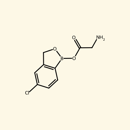 NCC(=O)OB1OCc2cc(Cl)ccc21